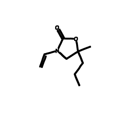 C=CN1CC(C)(CCC)OC1=O